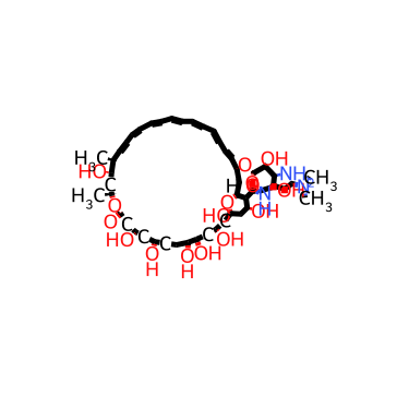 C[C@H]1C[C@H](O)[C@@H](C)/C=C/C=C/C=C/C=C/C=C/C=C/C=C/[C@H](O[C@@H]2OC[C@@H](O)[C@H](N)[C@@H]2O)C[C@@H]2O[C@](O)(CC(O)CC(O)C(O)CCC(O)CC(O)CC(=O)O1)C[C@H](O)C2C(=O)NCCCN(C)C